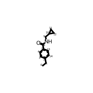 CCc1ccc(C(=O)NCC2CC2)cc1